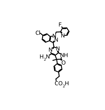 CC1(c2ccc(CCC(=O)O)cc2)C(=O)Nc2nc(-c3nn(Cc4ncccc4F)c4cc(Cl)ccc34)nc(N)c21